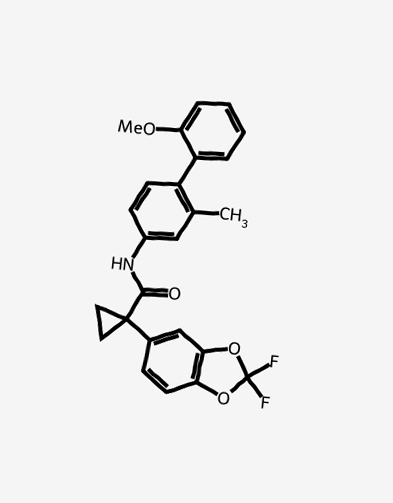 COc1ccccc1-c1ccc(NC(=O)C2(c3ccc4c(c3)OC(F)(F)O4)CC2)cc1C